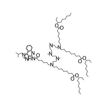 CCCCCCC(CC)OC(=O)CCCCCCCCN(CCCCCCC(=O)OC(CC)CCCCCC)CCN(C)CCN(C)CCN(C)CCN(CCCCCCCCC(=O)OC(CC)CCCCCC)CCCCCC(=O)Nc1nc2ccccc2c2c1ncn2CC(C)C